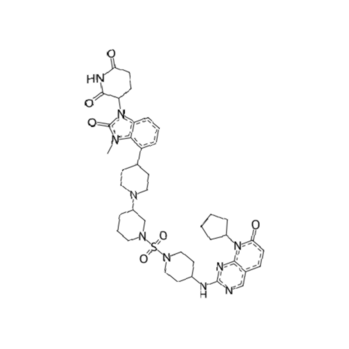 Cn1c(=O)n(C2CCC(=O)NC2=O)c2cccc(C3CCN(C4CCCN(S(=O)(=O)N5CCC(Nc6ncc7ccc(=O)n(C8CCCC8)c7n6)CC5)C4)CC3)c21